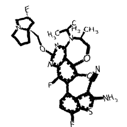 CC(C)N1c2nc(OC[C@@]34CCCN3C[C@H](F)C4)nc3c(F)c(-c4ccc(F)c5sc(N)c(C#N)c45)c(Cl)c(c23)OC[C@@H]1C